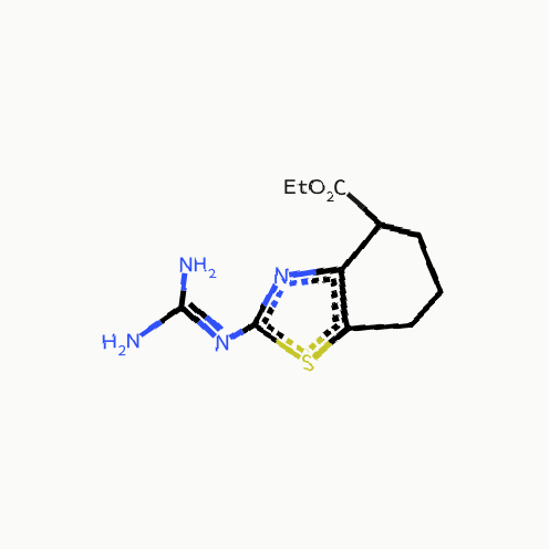 CCOC(=O)C1CCCc2sc(N=C(N)N)nc21